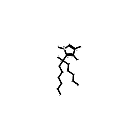 CCCCCCC(C)(CCCCC)c1c(C)c(C)cn1C